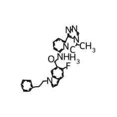 CC(C)n1cnnc1-c1cccc(NC(=O)c2cc3c(ccn3CCc3ccccc3)cc2F)n1